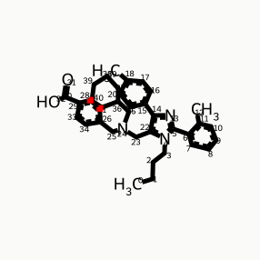 CCCCn1c(-c2ccccc2C)nc(-c2ccc(C)cc2)c1CN(Cc1ccc(C(=O)O)cc1)CC1CCCCC1